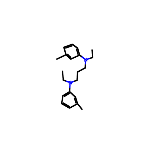 CCN(CCCN(CC)c1cccc(C)c1)c1cccc(C)c1